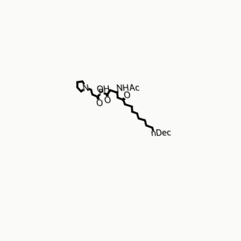 CCCCCCCCCCCCCCCCCCC(=O)CC(CC(=O)P(O)C(=O)CCN1CCCC1)NC(C)=O